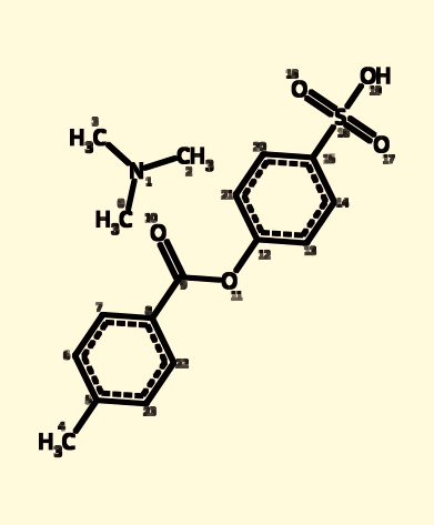 CN(C)C.Cc1ccc(C(=O)Oc2ccc(S(=O)(=O)O)cc2)cc1